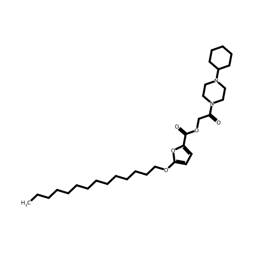 CCCCCCCCCCCCCCOc1ccc(C(=O)OCC(=O)N2CCN(C3CCCCC3)CC2)o1